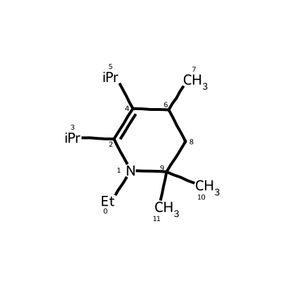 CCN1C(C(C)C)=C(C(C)C)C(C)CC1(C)C